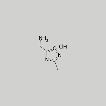 Cc1noc(CN)n1.Cl